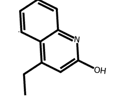 CCc1cc(O)nc2ccc[c]c12